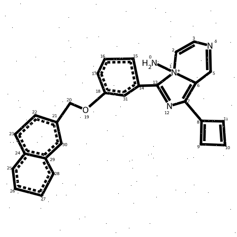 N[N+]12C=CN=CC1=C(C1=CC=C1)N=C2c1cccc(OCc2ccc3ccccc3c2)c1